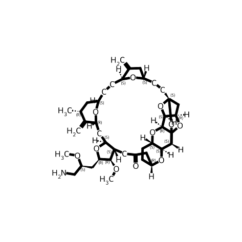 C=C1C[C@@H]2CC[C@@]34C[C@H]5OC6[C@@H](O[C@H]7CC[C@H](CC(=O)C[C@@H]8[C@@H](OC)[C@@H](C[C@@H](CN)OC)O[C@H]8C[C@H]8O[C@@H](CC[C@@H]1O2)C[C@@H](C)C8=C)O[C@@H]7[C@@H]6O3)[C@H]5O4